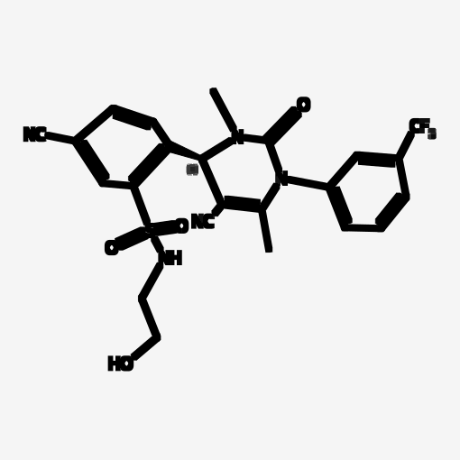 CC1=C(C#N)[C@@H](c2ccc(C#N)cc2S(=O)(=O)NCCO)N(C)C(=O)N1c1cccc(C(F)(F)F)c1